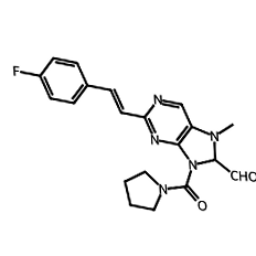 CN1c2cnc(/C=C/c3ccc(F)cc3)nc2N(C(=O)N2CCCC2)C1C=O